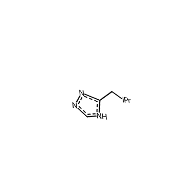 CC(C)Cc1nnc[nH]1